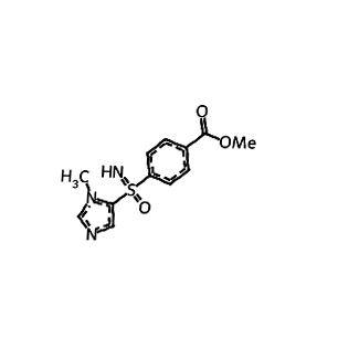 COC(=O)c1ccc(S(=N)(=O)c2cncn2C)cc1